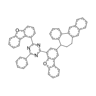 c1ccc(-c2nc(-c3cc(C4CCc5cc6ccccc6cc5-c5ccccc54)cc4c3oc3ccccc34)nc(-c3cccc4oc5ccccc5c34)n2)cc1